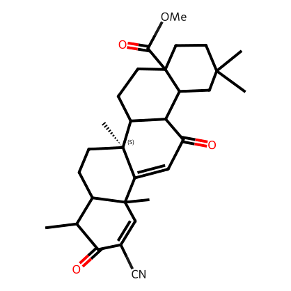 COC(=O)C12CCC3C(C(=O)C=C4C5(C)C=C(C#N)C(=O)C(C)C5CC[C@]43C)C1CC(C)(C)CC2